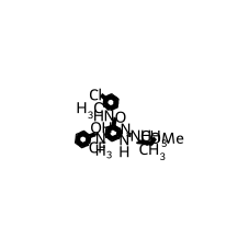 COCC(C)(C)CNc1nc2c(C(=O)Nc3cccc(Cl)c3C)cc(NC(O)c3ccccc3C(F)(F)F)cc2[nH]1